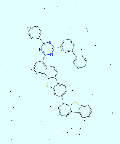 c1ccc(-c2cccc(-c3nc(-c4ccccc4)nc(-c4cccc5c4ccc4c6ccc(-c7cccc8c7sc7ccccc78)cc6sc54)n3)c2)cc1